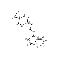 COC1CCN(CCCn2nnc3ccccc32)CC1